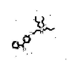 CCCC[PH](CCCC)(CCCC)CCCOc1ccc(C(=O)c2ccccc2)cc1